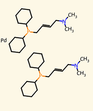 CN(C)CC=CCP(C1CCCCC1)C1CCCCC1.CN(C)CC=CCP(C1CCCCC1)C1CCCCC1.[Pd]